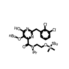 CCCCOc1c(O)nc(Cc2cccc(Cl)c2Cl)nc1C(=O)N(CCO[Si](C)(C)C(C)(C)C)C(C)C